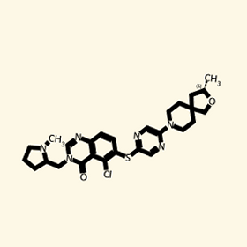 C[C@H]1CC2(CCN(c3cnc(Sc4ccc5ncn(CC6CCCN6C)c(=O)c5c4Cl)cn3)CC2)CO1